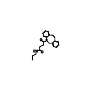 O=C(CCC(=O)N1Cc2ccccc2CCc2ccccc21)NCCI